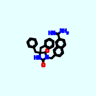 N=C(N)c1ccc2ccc(CN3C(=O)NC(Cc4ccccc4)(Cc4ccccc4)C3=O)cc2c1